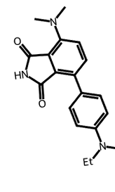 CCN(CC)c1ccc(-c2ccc(N(C)C)c3c2C(=O)NC3=O)cc1